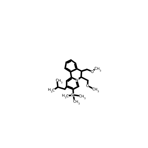 COCC1c2ccccc2-c2cc(CC(C)C)c([Si](C)(C)C)c[n+]2C1COC